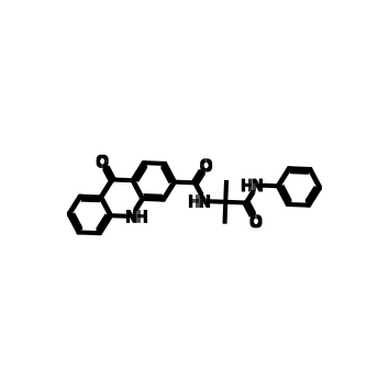 CC(C)(NC(=O)c1ccc2c(=O)c3ccccc3[nH]c2c1)C(=O)Nc1ccccc1